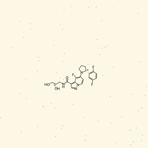 O=C(NC[C@H](O)CO)c1cnn2ccc(N3CCC[C@@H]3c3cc(F)ccc3F)c(F)c12